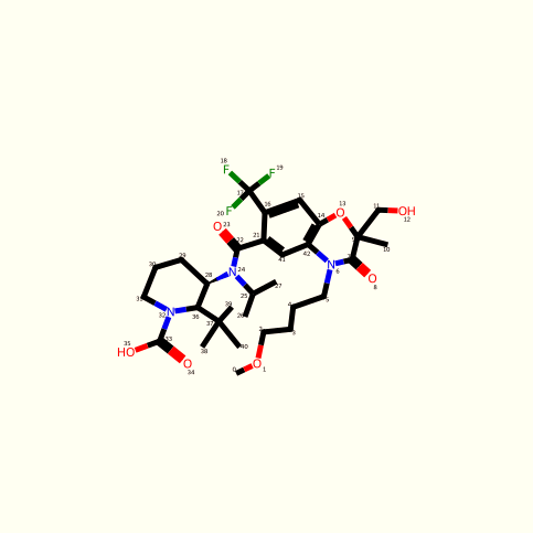 COCCCCN1C(=O)C(C)(CO)Oc2cc(C(F)(F)F)c(C(=O)N(C(C)C)[C@@H]3CCCN(C(=O)O)C3C(C)(C)C)cc21